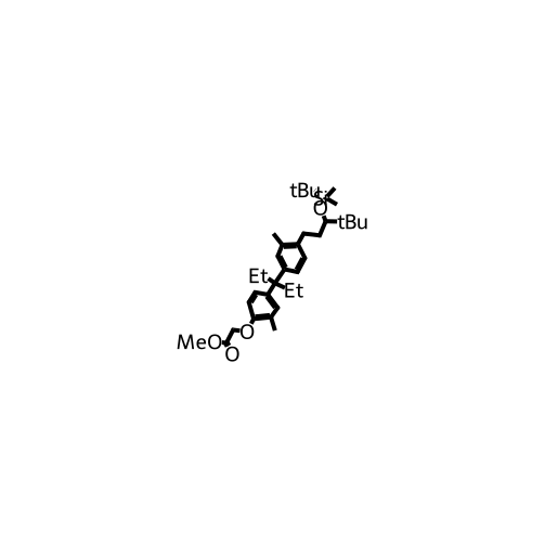 CCC(CC)(c1ccc(CCC(O[Si](C)(C)C(C)(C)C)C(C)(C)C)c(C)c1)c1ccc(OCC(=O)OC)c(C)c1